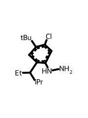 CCC(c1cc(C(C)(C)C)c(Cl)cc1NN)C(C)C